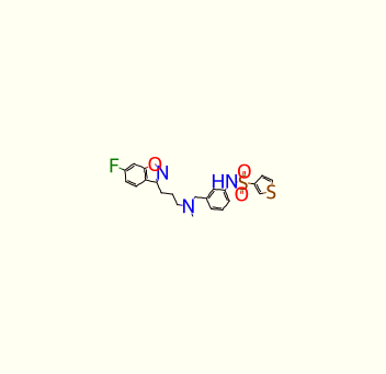 CN(CCCc1noc2cc(F)ccc12)Cc1cccc(NS(=O)(=O)c2ccsc2)c1